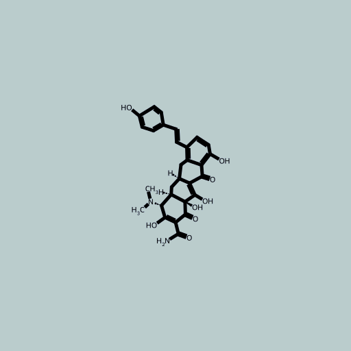 CN(C)[C@H]1C(O)=C(C(N)=O)C(=O)[C@@]2(O)C(O)=C3C(=O)c4c(O)ccc(/C=C/c5ccc(O)cc5)c4C[C@@H]3C[C@H]12